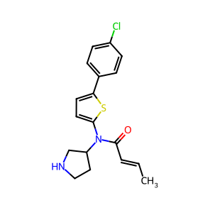 CC=CC(=O)N(c1ccc(-c2ccc(Cl)cc2)s1)C1CCNC1